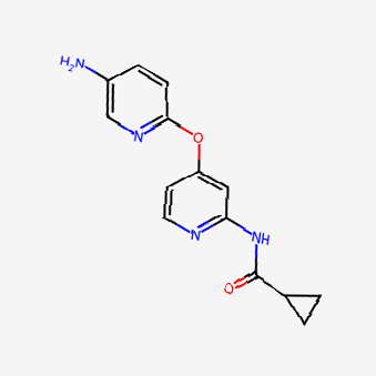 Nc1ccc(Oc2ccnc(NC(=O)C3CC3)c2)nc1